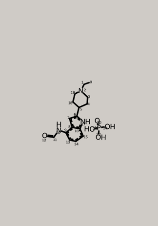 CCN1CCC(c2cc3c(NC=O)cccc3[nH]2)CC1.O=P(O)(O)O